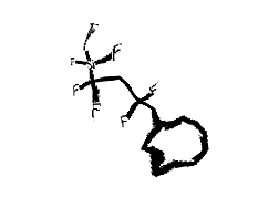 FC(F)(CC(F)(F)[Si](F)(F)F)c1ccccc1